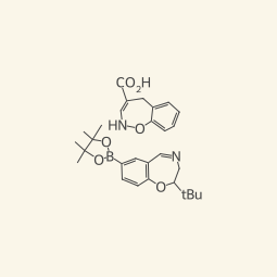 CC(C)(C)C1CN=Cc2cc(B3OC(C)(C)C(C)(C)O3)ccc2O1.O=C(O)C1=CNOc2ccccc2C1